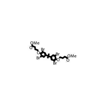 COC(=O)CCCOc1c(Br)cc(C(C)(C)c2cc(Br)c(OCCCC(=O)OC)c(Br)c2)cc1Br